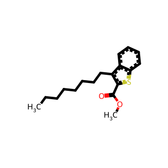 CCCCCCCCc1c(C(=O)OC)sc2ccccc12